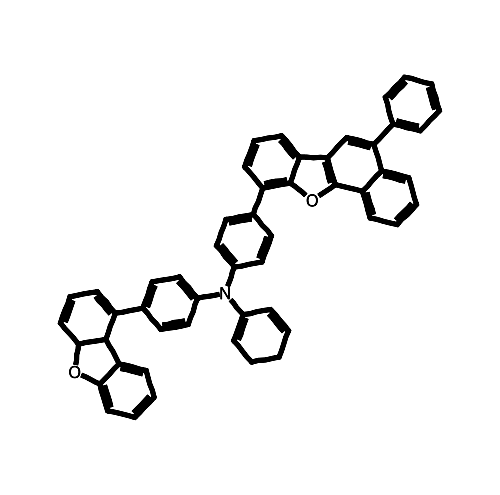 C1=CC2Oc3ccccc3C2C(c2ccc(N(C3=CCCC=C3)c3ccc(-c4cccc5c4oc4c6ccccc6c(-c6ccccc6)cc54)cc3)cc2)=C1